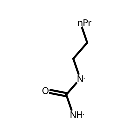 CCCCC[N]C([NH])=O